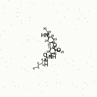 CCCCCNC(=O)Nc1ccc(Oc2ccc(NCC)cc2)c(OC)c1